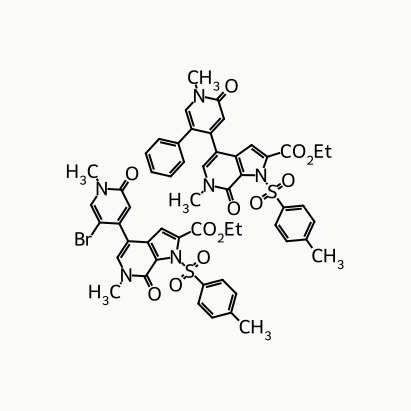 CCOC(=O)c1cc2c(-c3cc(=O)n(C)cc3-c3ccccc3)cn(C)c(=O)c2n1S(=O)(=O)c1ccc(C)cc1.CCOC(=O)c1cc2c(-c3cc(=O)n(C)cc3Br)cn(C)c(=O)c2n1S(=O)(=O)c1ccc(C)cc1